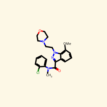 COc1cccc2c(C(=O)N(C)c3ccccc3Cl)nn(CCN3CCOCC3)c12